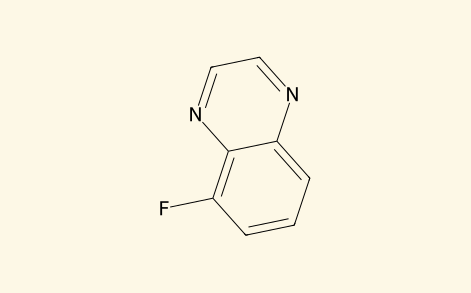 Fc1cccc2nccnc12